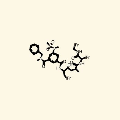 CC(C)CNC(=O)C(NC(=O)C(C)CC(O)C(CC(C)C)NC(=O)c1cc(C(=O)N(C)Cc2ccccc2)cc(N(C)S(C)(=O)=O)c1)C(C)C